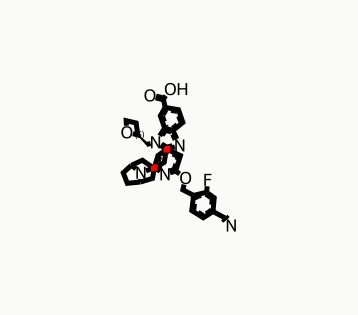 N#Cc1ccc(COc2cccc(N3C4CCC3CC(Cc3nc5ccc(C(=O)O)cc5n3C[C@@H]3CCO3)C4)n2)c(F)c1